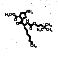 C=CCCCCC[C@H](NC(=O)OCC[Si](C)(C)C)C(=O)N1C[C@H](N)C[C@H]1C(=O)OC